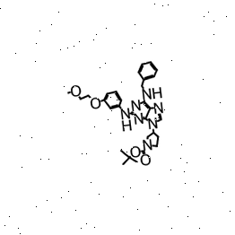 COCCOc1cccc(Nc2nc(NCc3ccccc3)c3ncn(C4CCN(C(=O)OC(C)(C)C)C4)c3n2)c1